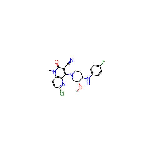 CO[C@H]1CN(c2c(C#N)c(=O)n(C)c3ccc(Cl)nc23)CC[C@H]1Nc1ccc(F)cc1